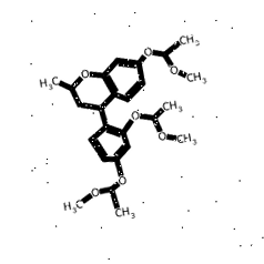 COC(C)Oc1ccc2c(c1)OC(C)CC2c1ccc(OC(C)OC)cc1OC(C)OC